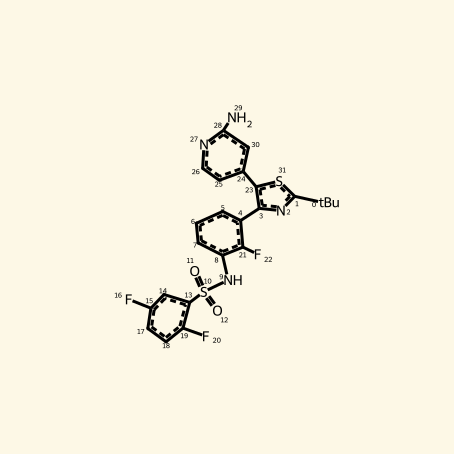 CC(C)(C)c1nc(-c2cccc(NS(=O)(=O)c3cc(F)ccc3F)c2F)c(-c2ccnc(N)c2)s1